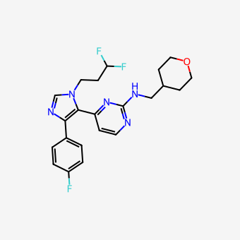 Fc1ccc(-c2ncn(CCC(F)F)c2-c2ccnc(NCC3CCOCC3)n2)cc1